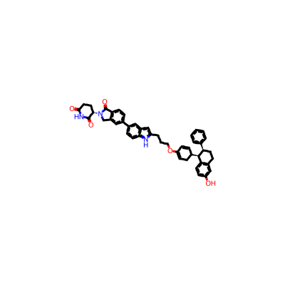 O=C1CC[C@H](N2Cc3cc(-c4ccc5[nH]c(CCCOC6=CCC([C@@H]7c8ccc(O)cc8CC[C@@H]7c7ccccc7)C=C6)cc5c4)ccc3C2=O)C(=O)N1